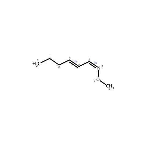 [CH2]CC/C=C/C=N\OC